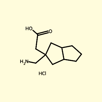 Cl.NCC1(CC(=O)O)CC2CCCC2C1